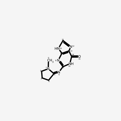 CN1CCCC1=Nc1nc2[nH]cnc2c(=O)[nH]1